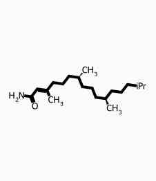 C/C(=C\C(N)=O)CCC[C@H](C)CCC[C@H](C)CCCC(C)C